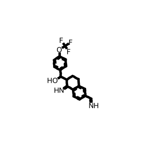 N=Cc1ccc2c(c1)CCC(C(O)c1ccc(OC(F)(F)F)cc1)C2=N